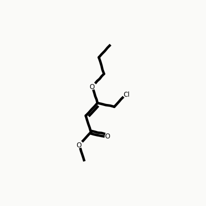 CCCO/C(=C/C(=O)OC)CCl